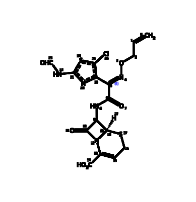 C=CCO/N=C(/C(=O)NC1C(=O)N2C(C(=O)O)=CCS[C@H]12)c1nc(NC=O)sc1Cl